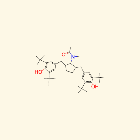 CC(=O)N(C)C1C(Cc2cc(C(C)(C)C)c(O)c(C(C)(C)C)c2)CCC1Cc1cc(C(C)(C)C)c(O)c(C(C)(C)C)c1